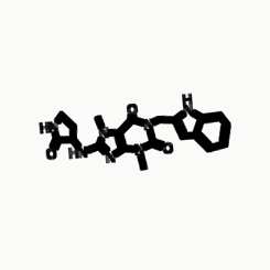 Cn1c(NC2CCNC2=O)nc2c1c(=O)n(Cc1cc3ccccc3[nH]1)c(=O)n2C